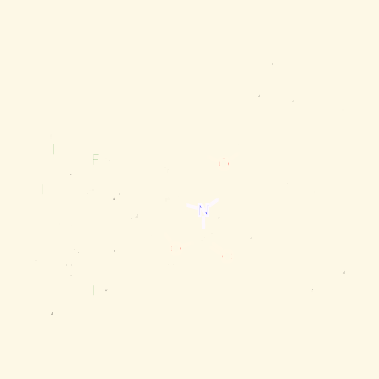 COc1cc(F)c(C(C)C)cc1-c1cc2c(cc1CN1C(=O)O[C@H](c3cc(C(F)(F)F)cc(C(F)(F)F)c3)[C@@H]1C)CCCC2